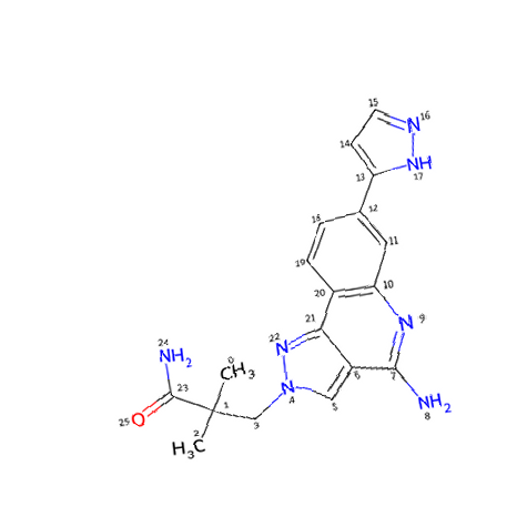 CC(C)(Cn1cc2c(N)nc3cc(-c4ccn[nH]4)ccc3c2n1)C(N)=O